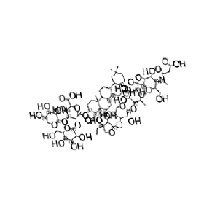 CC[C@@]1(O)CO[C@@H](OC2C(O)[C@H](O[C@H]3C(C)O[C@@H](C4(OC(=O)[C@]56CCC(C)(C)CC5C5=CCC7C8(C)CC[C@H](O[C@@H]9OC(C(=O)O)[C@@H](O)[C@H](O[C@@H]%10OC[C@@H](O)[C@H](O)C%10O)C9O[C@@H]9OC(CO)[C@H](O)[C@H](O)C9O)[C@](C)(C=O)[C@@H]8CC[C@]7(C)[C@]5(C)CC6O)OC5C(O)[C@@H](N(C)C(=O)CC(=O)O)C(CO)O[C@H]54)C(O)C3O)OC[C@H]2O)C1O